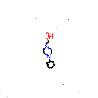 OCCN1CCN(c2ccccc2)CC1